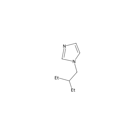 [CH2]CC(CC)Cn1ccnc1